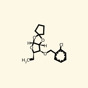 C=C[C@H]1O[C@@H]2OC3(CCCC3)O[C@@H]2[C@H]1OCc1ccccc1Cl